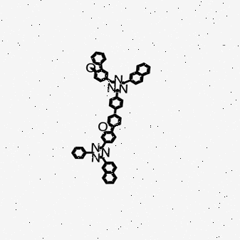 c1ccc(-c2nc(-c3ccc4ccccc4c3)nc(-c3ccc4c(c3)oc3cc(-c5ccc(-c6nc(-c7ccc8ccccc8c7)nc(-c7ccc8oc9ccccc9c8c7)n6)cc5)ccc34)n2)cc1